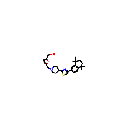 CC1(C)CCC(C)(C)c2cc(-c3csc(C4CCN(Cc5ccc(CO)o5)CC4)n3)ccc21